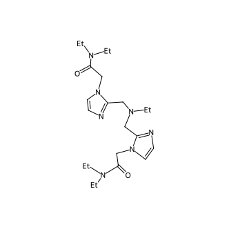 CCN(Cc1nccn1CC(=O)N(CC)CC)Cc1nccn1CC(=O)N(CC)CC